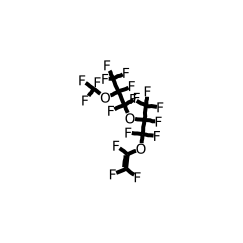 FC(F)=C(F)OC(F)(F)C(F)(OC(F)(F)C(F)(OC(F)(F)F)C(F)(F)F)C(F)(F)F